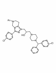 CC(=O)N1CCc2c(c(-c3ccc(Cl)cc3)nn2CC(O)CN2CCN(C(c3ccccc3)c3ccc(Cl)cc3)CC2)C1